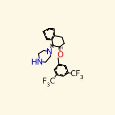 FC(F)(F)c1cc(CO[C@@H]2CCc3ccccc3[C@H]2N2CCNCC2)cc(C(F)(F)F)c1